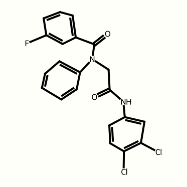 O=C(CN(C(=O)c1cccc(F)c1)c1ccccc1)Nc1ccc(Cl)c(Cl)c1